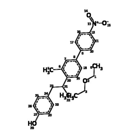 CCOCC.Cc1cc(-c2ccc([N+](=O)[O-])cc2)ccc1C(C)Cc1ccc(O)cc1